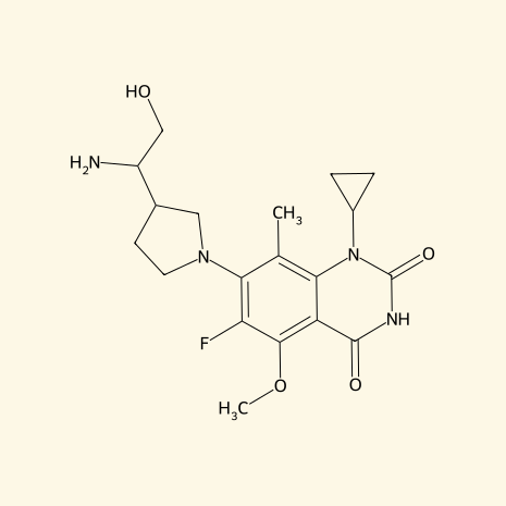 COc1c(F)c(N2CCC(C(N)CO)C2)c(C)c2c1c(=O)[nH]c(=O)n2C1CC1